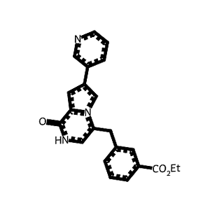 CCOC(=O)c1cccc(Cc2c[nH]c(=O)c3cc(-c4cccnc4)cn23)c1